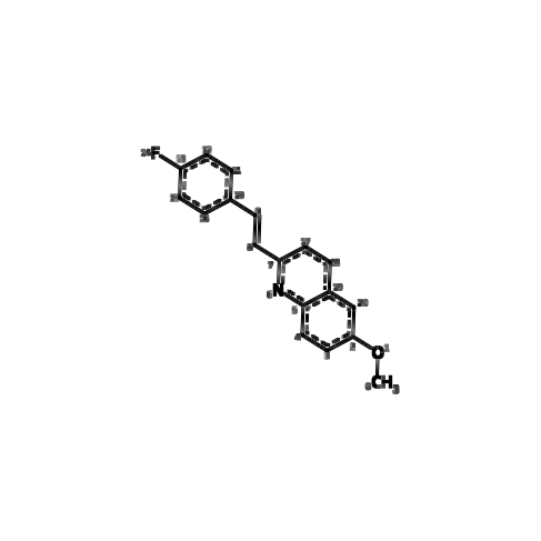 COc1ccc2nc(C=Cc3ccc(F)cc3)ccc2c1